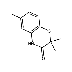 Cc1ccc2c(c1)NC(=O)C(C)(C)S2